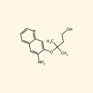 CC(C)(CCO)Oc1cc2ncccc2cc1N